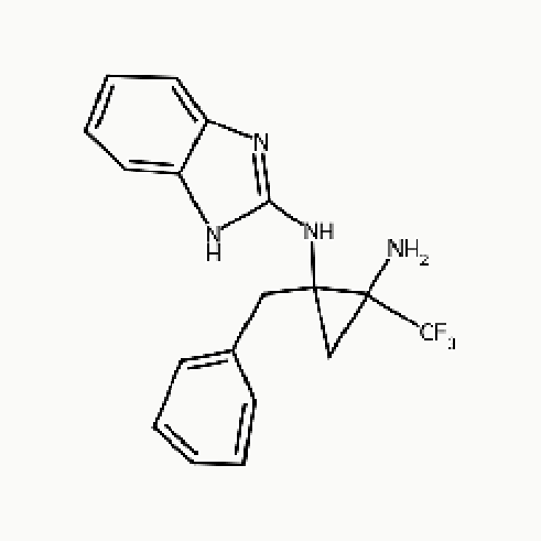 NC1(C(F)(F)F)CC1(Cc1ccccc1)Nc1nc2ccccc2[nH]1